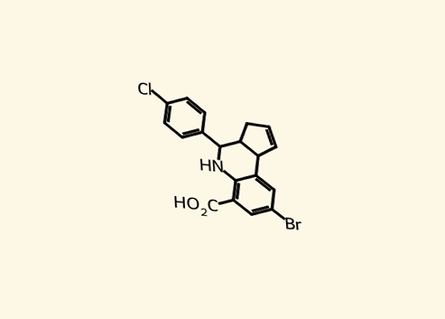 O=C(O)c1cc(Br)cc2c1NC(c1ccc(Cl)cc1)C1CC=CC21